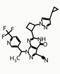 CC(c1ccc(C(F)(F)F)nc1)n1nc(C#N)c2c(=O)[nH]c(C3CCC3n3cc(C4CC4)cn3)nc21